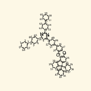 c1ccc(-c2ccc(-c3cc(-c4ccc(-c5ccc6c(c5)Oc5c(ccc7c5-c5ccccc5C7(c5ccccc5)c5ccccc5)O6)cc4)nc(-c4ccc(-c5ccccc5)cc4)n3)cc2)cc1